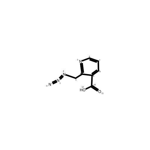 [N-]=[N+]=NCc1ncccc1C(=O)O